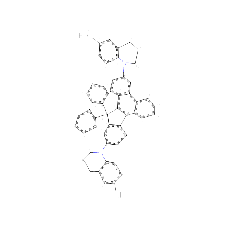 FC(F)(F)c1ccc2c(c1)CCCN2c1ccc2c(c1)C(c1ccccc1)(c1ccccc1)c1c-2c2ccccc2c2cc(N3CCCc4cc(C(F)(F)F)ccc43)ccc12